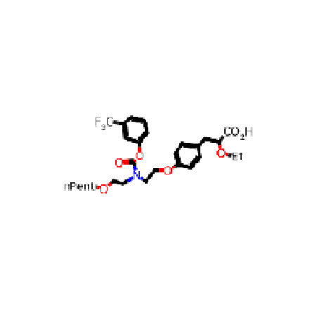 CCCCCOCCN(CCOc1ccc(CC(OCC)C(=O)O)cc1)C(=O)Oc1cccc(C(F)(F)F)c1